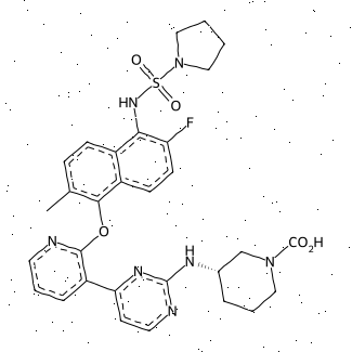 Cc1ccc2c(NS(=O)(=O)N3CCCC3)c(F)ccc2c1Oc1ncccc1-c1ccnc(N[C@H]2CCCN(C(=O)O)C2)n1